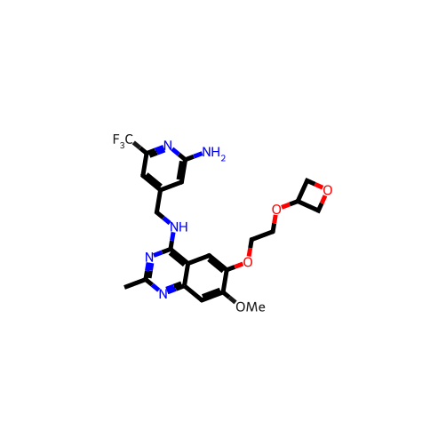 COc1cc2nc(C)nc(NCc3cc(N)nc(C(F)(F)F)c3)c2cc1OCCOC1COC1